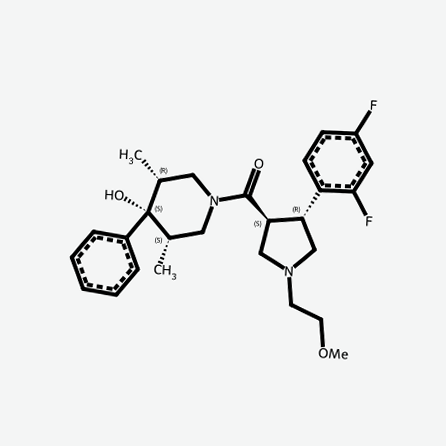 COCCN1C[C@@H](C(=O)N2C[C@@H](C)[C@](O)(c3ccccc3)[C@@H](C)C2)[C@H](c2ccc(F)cc2F)C1